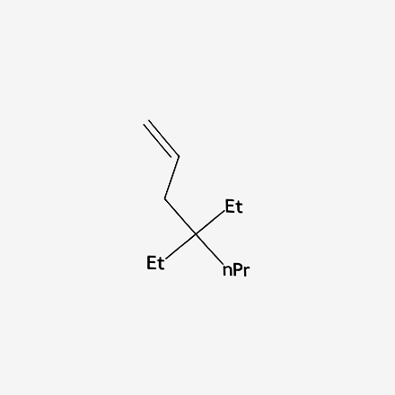 C=CCC(CC)(CC)CCC